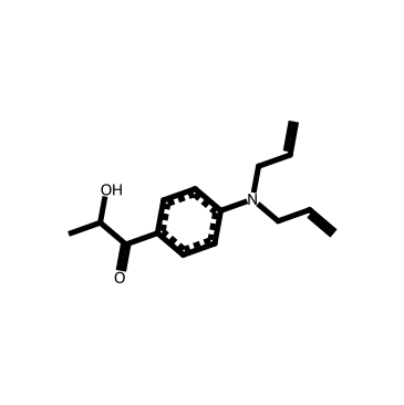 C=CCN(CC=C)c1ccc(C(=O)C(C)O)cc1